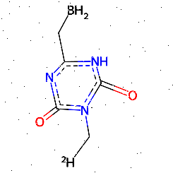 [2H]Cn1c(=O)nc(CB)[nH]c1=O